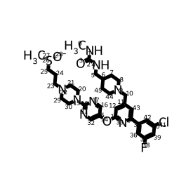 CNC(=O)NCC1CCN(Cc2cc(Oc3cnc(N4CCN(CCC[S+](C)[O-])CC4)nc3)nc(-c3cc(F)cc(Cl)c3)c2)CC1